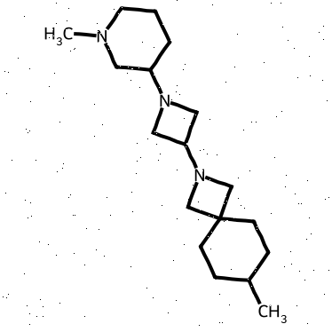 CC1CCC2(CC1)CN(C1CN(C3CCCN(C)C3)C1)C2